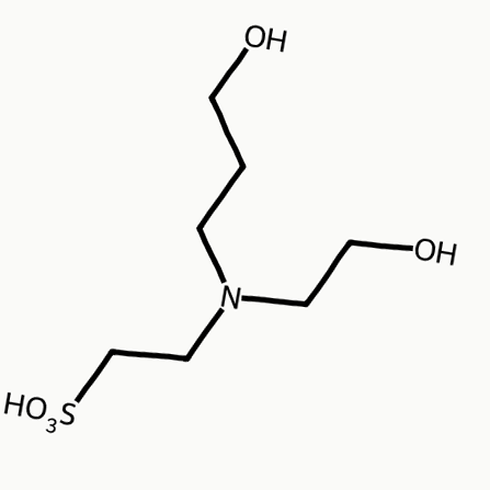 O=S(=O)(O)CCN(CCO)CCCO